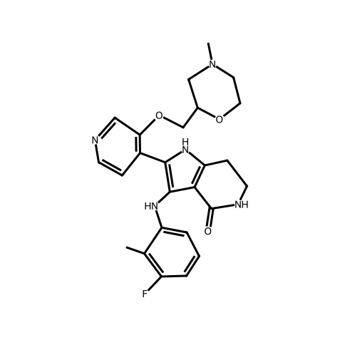 Cc1c(F)cccc1Nc1c(-c2ccncc2OCC2CN(C)CCO2)[nH]c2c1C(=O)NCC2